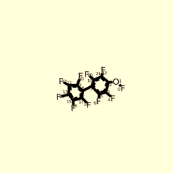 FOc1c(F)c(F)c(-c2c(F)c(F)c(F)c(F)c2F)c(F)c1F